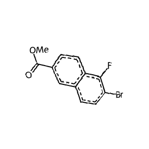 COC(=O)c1ccc2c(F)c(Br)ccc2c1